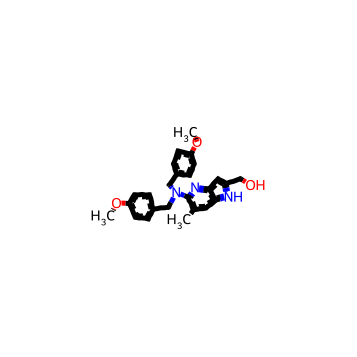 COc1ccc(CN(Cc2ccc(OC)cc2)c2nc3cc(CO)[nH]c3cc2C)cc1